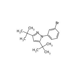 CC(C)(C)c1cc(C(C)(C)C)n(-c2cccc(Br)c2)n1